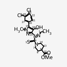 CC=NN(C(=S)N1CCC(C(=O)OC)CC1)c1nn(C)c(-c2ccc(Cl)c(Cl)c2)c1O